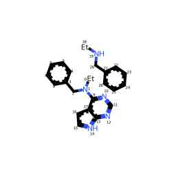 CCN(Cc1ccccc1)c1ncnc2[nH]ccc12.CCNCc1ccccc1